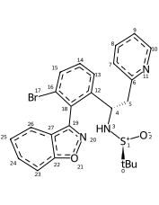 CC(C)(C)[S@+]([O-])N[C@@H](Cc1ccccn1)c1cccc(Br)c1-c1noc2ccccc12